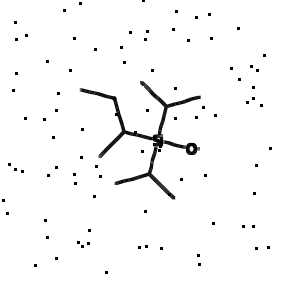 CCC(C)[Si]([O])(C(C)C)C(C)C